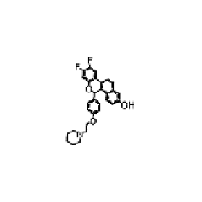 Oc1ccc2c3c(ccc2c1)-c1cc(F)c(F)cc1OC3c1ccc(OCCN2CCCCC2)cc1